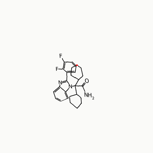 NC(=O)C(C1CCCCC1)(C1CCCCC1)n1c(-c2cccc(F)c2F)nc2ccccc21